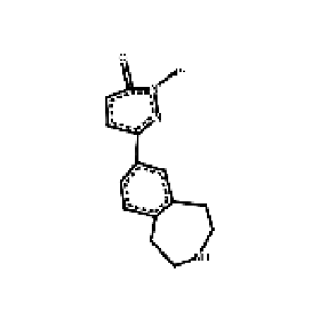 CC(C)n1nc(-c2ccc3c(c2)CCNCC3)ccc1=O